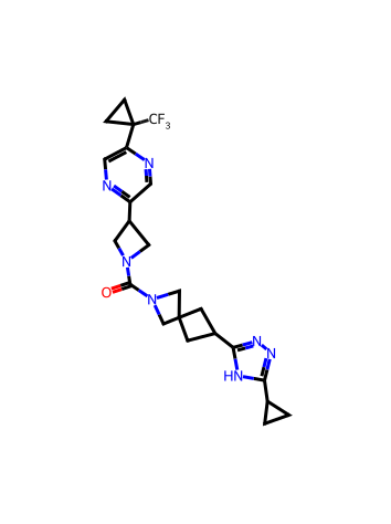 O=C(N1CC(c2cnc(C3(C(F)(F)F)CC3)cn2)C1)N1CC2(CC(c3nnc(C4CC4)[nH]3)C2)C1